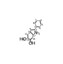 Cn1c(-c2ccccc2)cc2cc(O)c(O)cc21